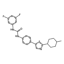 CC1CCC(c2ncc(-c3ccc(NC(=O)Nc4cc(F)cc(F)c4)cc3)s2)CC1